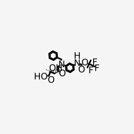 CC(C)(OC(=O)Nc1ccc2c(c1)N(Cc1ccccc1)C[C@H](C[C@](C)(O)C(=O)O)O2)C(F)(F)F